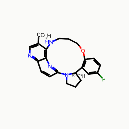 O=C(O)c1cnc2ccc3nc2c1NCCCOc1ccc(F)cc1[C@H]1CCCN31